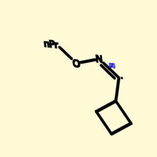 CCCO/N=[C]\C1CCC1